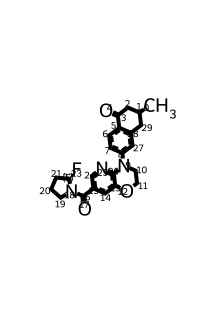 CC1CC(=O)c2ccc(N3CCOc4cc(C(=O)N5CCC[C@@H]5F)cnc43)cc2C1